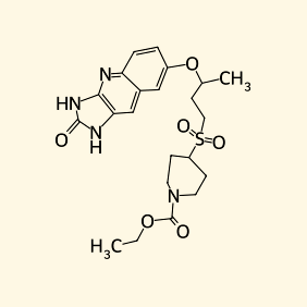 CCOC(=O)N1CCC(S(=O)(=O)CCC(C)Oc2ccc3nc4[nH]c(=O)[nH]c4cc3c2)CC1